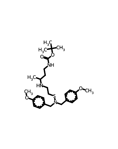 COc1ccc(CN(Cc2ccc(OC)cc2)SCCNC(C)CCNC(=O)OC(C)(C)C)cc1